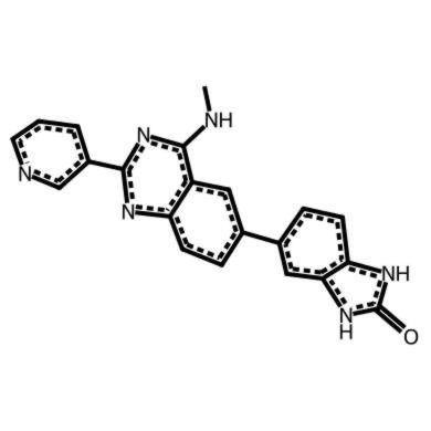 CNc1nc(-c2cccnc2)nc2ccc(-c3ccc4[nH]c(=O)[nH]c4c3)cc12